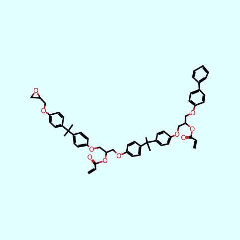 C=CC(=O)OC(COc1ccc(-c2ccccc2)cc1)COc1ccc(C(C)(C)c2ccc(OCC(COc3ccc(C(C)(C)c4ccc(OCC5CO5)cc4)cc3)OC(=O)C=C)cc2)cc1